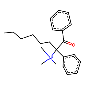 CCCCCCC(C(=O)c1ccccc1)(c1ccccc1)[N+](C)(C)C